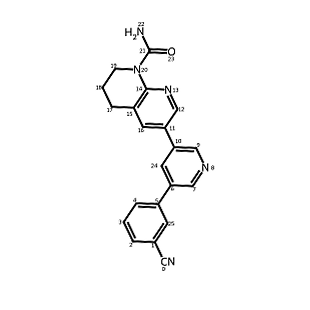 N#Cc1cccc(-c2cncc(-c3cnc4c(c3)CCCN4C(N)=O)c2)c1